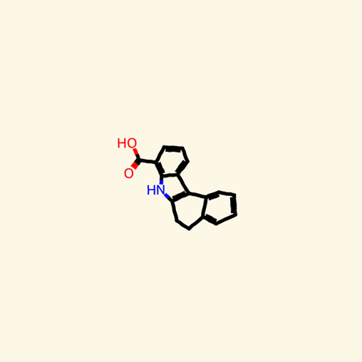 O=C(O)c1cccc2c3c([nH]c12)CCc1ccccc1-3